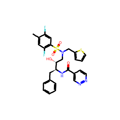 Cc1cc(F)c(S(=O)(=O)N(Cc2cccs2)C[C@@H](O)[C@H](Cc2ccccc2)NC(=O)c2ccnnc2)cc1F